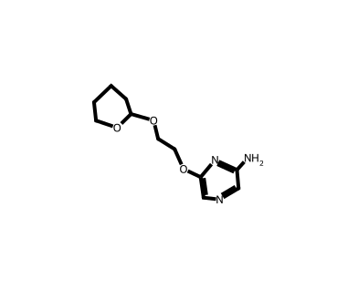 Nc1cncc(OCCOC2CCCCO2)n1